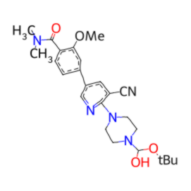 COc1cc(-c2cnc(N3CCN(C(O)OC(C)(C)C)CC3)c(C#N)c2)ccc1C(=O)N(C)C